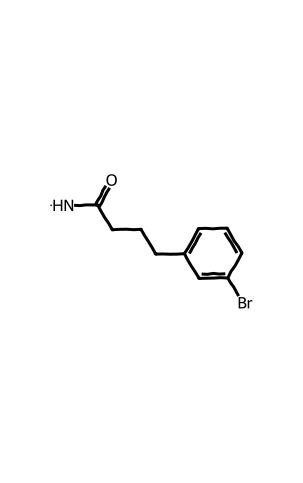 [NH]C(=O)CCCc1cccc(Br)c1